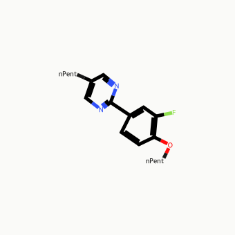 CCCCCOc1ccc(-c2ncc(CCCCC)cn2)cc1F